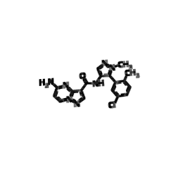 Cc1ccc(Cl)cc1-c1c(NC(=O)c2cnn3ccc(N)nc23)cnn1C